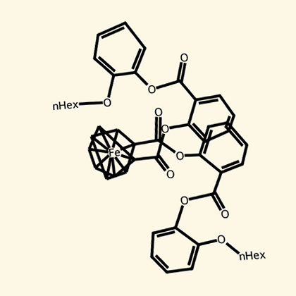 CCCCCCOc1ccccc1OC(=O)c1ccccc1OC(=O)[C]12[CH]3[CH]4[CH]5[CH]1[Fe]45321678[CH]2[CH]1[CH]6[C]7(C(=O)Oc1ccccc1C(=O)Oc1ccccc1OCCCCCC)[CH]28